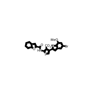 COc1cc(Br)cc2cc(-c3csc(NC(=O)c4cc5ccccc5o4)c3C(=O)O)oc12